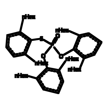 CCCCCCc1cccc(CCCCCC)c1OP(=O)(Oc1c(CCCCCC)cccc1CCCCCC)Sc1c(CCCCCC)cccc1CCCCCC